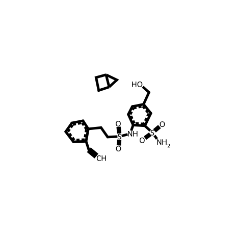 C#Cc1ccccc1CCS(=O)(=O)Nc1ccc(CO)cc1S(N)(=O)=O.C1CC2CC12